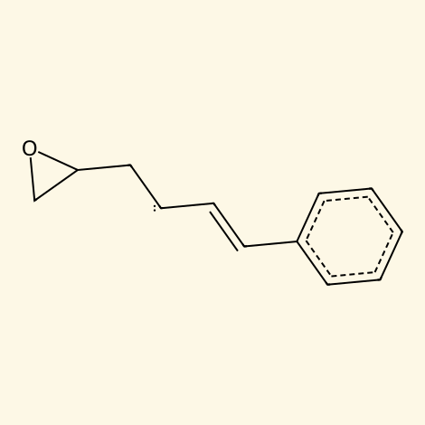 [C](C=Cc1ccccc1)CC1CO1